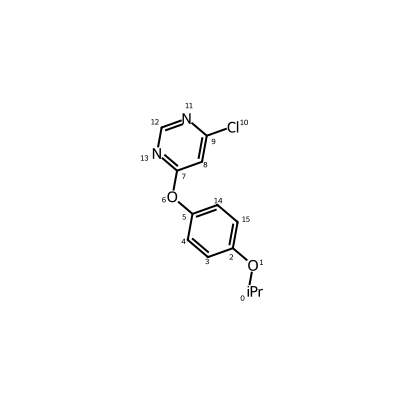 CC(C)Oc1ccc(Oc2cc(Cl)ncn2)cc1